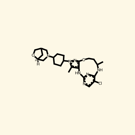 Cc1c2c(nn1C1CCC(N3CC4CO[C@H](C4)C3)CC1)OCCC(C)Nc1nc(ncc1Cl)N2